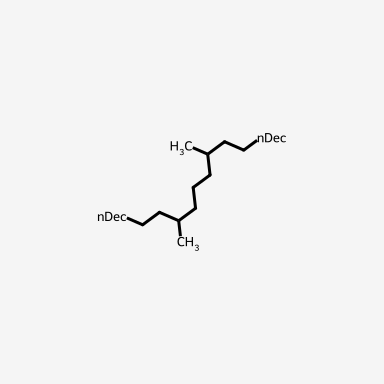 CCCCCCCCCCCCC(C)CCCC(C)CCCCCCCCCCCC